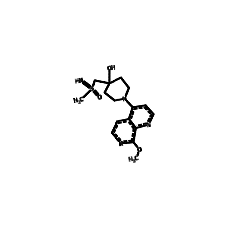 COc1nccc2c(N3CCC(O)(CS(C)(=N)=O)CC3)ccnc12